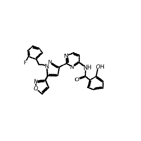 O=C(Nc1ccnc(-c2cc(-c3ccon3)n(Cc3ccccc3F)n2)n1)c1ccccc1O